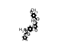 COc1ccc(C(=O)NCC2CC(=O)N(c3ccc(N(C)C(=O)CN4CCCC4)cc3)C2)cc1